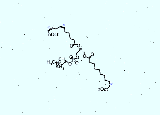 CCCCCCCC/C=C\C/C=C\CCCCC(=O)O[C@H](COC(=O)CCCCCCC/C=C\CCCCCCCC)COP(=O)([O-])OCC[N+](C)(C)C